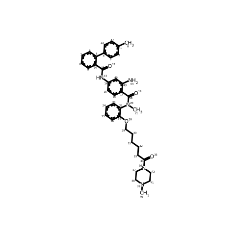 Cc1ccc(-c2ccccc2C(=O)Nc2ccc(C(=O)N(C)c3ccccc3OCCCCCC(=O)N3CCN(C)CC3)c(N)c2)cc1